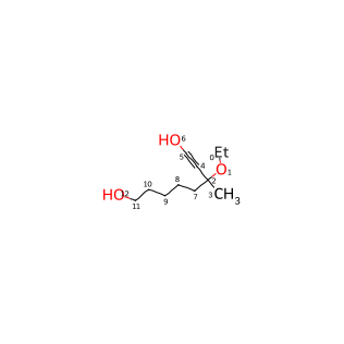 CCOC(C)(C#CO)CCCCCO